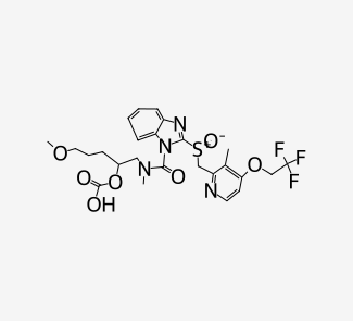 COCCCC(CN(C)C(=O)n1c([S+]([O-])Cc2nccc(OCC(F)(F)F)c2C)nc2ccccc21)OC(=O)O